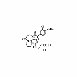 CC(=O)Nc1ccc(C(=O)N[C@H]2CCC(=O)N3CCC[C@@H](C(=O)N[C@H](C=O)CC(=O)O)N3C2=O)cc1Cl